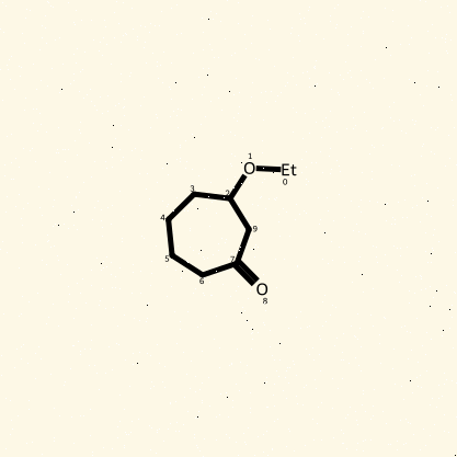 CCOC1CCCCC(=O)C1